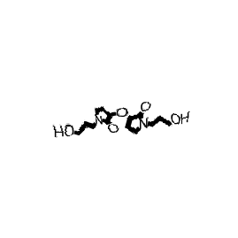 O=C1C(OC2CCN(CCCO)C2=O)CCN1CCCO